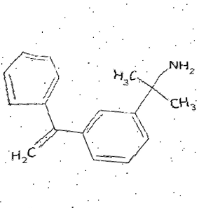 C=C(c1ccccc1)c1cccc(C(C)(C)N)c1